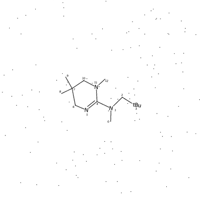 CN(CC(C)(C)C)C1=NCC(C)(C)CN1C